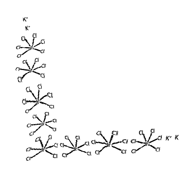 [Cl][Ir-]([Cl])([Cl])([Cl])([Cl])[Cl].[Cl][Ir-]([Cl])([Cl])([Cl])([Cl])[Cl].[Cl][Ir-]([Cl])([Cl])([Cl])([Cl])[Cl].[Cl][Ir-]([Cl])([Cl])([Cl])([Cl])[Cl].[Cl][Ir-]([Cl])([Cl])([Cl])([Cl])[Cl].[Cl][Ir-]([Cl])([Cl])([Cl])([Cl])[Cl].[Cl][Ir-]([Cl])([Cl])([Cl])([Cl])[Cl].[Cl][Ir-]([Cl])([Cl])([Cl])([Cl])[Cl].[K+].[K+].[K+].[K+]